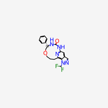 O=C1Nc2cc3cnn(C(F)F)c3c(n2)CCCOC[C@H](c2ccccc2)N1